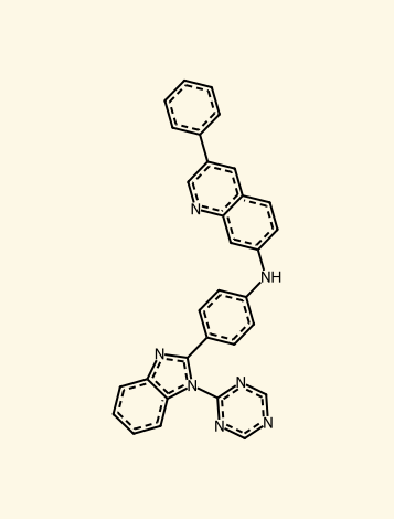 c1ccc(-c2cnc3cc(Nc4ccc(-c5nc6ccccc6n5-c5ncncn5)cc4)ccc3c2)cc1